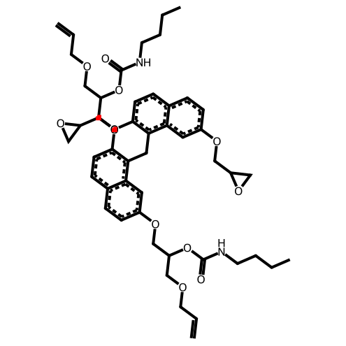 C=CCOCC(COc1ccc2ccc(OCC(COCC=C)OC(=O)NCCCC)c(Cc3c(OCC4CO4)ccc4ccc(OCC5CO5)cc34)c2c1)OC(=O)NCCCC